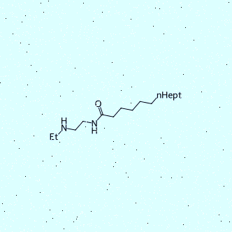 CCCCCCCCCCCCC(=O)NCCNCC